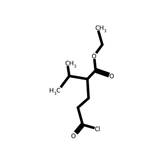 CCOC(=O)C(CCC(=O)Cl)C(C)C